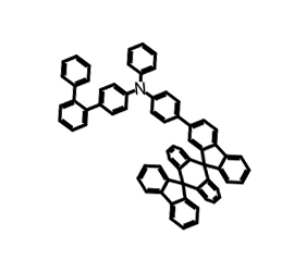 c1ccc(-c2ccccc2-c2ccc(N(c3ccccc3)c3ccc(-c4ccc5c(c4)C4(c6ccccc6-5)c5ccccc5C5(c6ccccc6-c6ccccc65)c5ccccc54)cc3)cc2)cc1